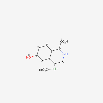 CCOC(=O)Cl.O=C(O)C1NCCC2CC(O)CCC21